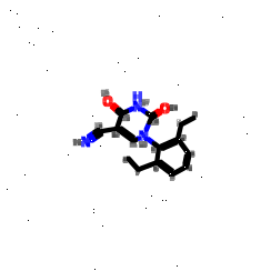 CCc1cccc(CC)c1-n1cc(C#N)c(=O)[nH]c1=O